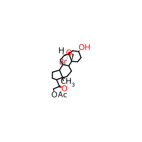 CC(=O)OCC(=O)C1CCC2C3C[C@H]4OC[C@@]5(CC[C@H](O)C[C@]45Br)C3CC[C@]12C